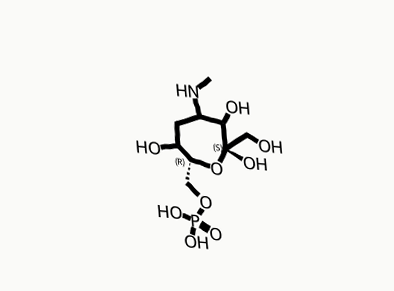 CNC1CC(O)[C@@H](COP(=O)(O)O)O[C@@](O)(CO)C1O